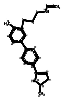 C=CNCCCc1cc(-c2ccc(C3=CCC(C)N3)cn2)ccc1C